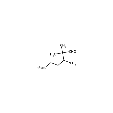 CCCCCCCC(C)C(C)(C)C=O